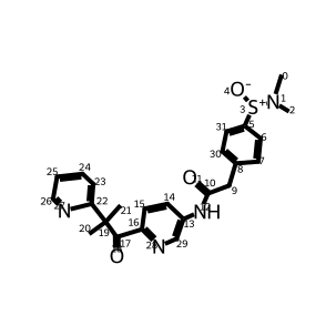 CN(C)[S+]([O-])c1ccc(CC(=O)Nc2ccc(C(=O)C(C)(C)c3ccccn3)nc2)cc1